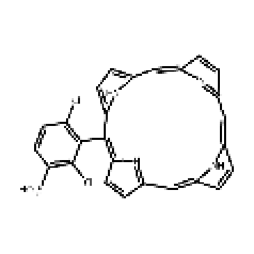 O=S(=O)(O)c1ccc(Cl)c(-c2c3nc(cc4ccc(cc5nc(cc6ccc2[nH]6)C=C5)[nH]4)C=C3)c1Cl